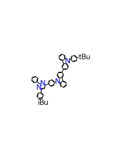 CCC(C)c1ccc(-c2cc(-c3ccc(-n4c5ccccc5c5cc(-c6ccc7c(c6)c6ccccc6n7-c6ccc(C(C)(C)C)cc6)ccc54)cc3)nc(-c3ccccc3)n2)cc1